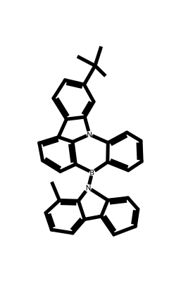 Cc1cccc2c3ccccc3n(B3c4ccccc4-n4c5cc(C(C)(C)C)ccc5c5cccc3c54)c12